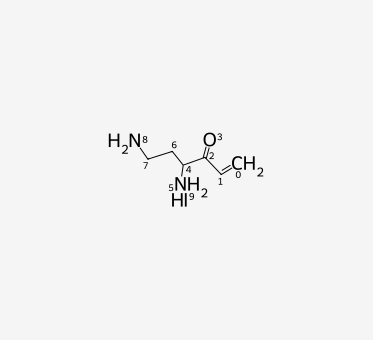 C=CC(=O)C(N)CCN.I